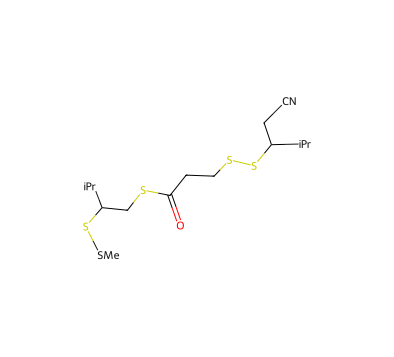 CSSC(CSC(=O)CCSSC(CC#N)C(C)C)C(C)C